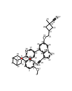 COc1ccc(CN2C3CC2CN(c2ccc(-c4cc(OCC5CC(C)(C#N)C5)cn5ncc(C#N)c45)cn2)C3)cn1